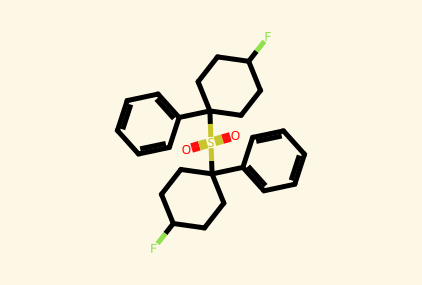 O=S(=O)(C1(c2ccccc2)CCC(F)CC1)C1(c2ccccc2)CCC(F)CC1